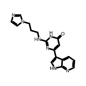 O=c1cc(-c2c[nH]c3ncccc23)nc(NCCCn2ccnc2)[nH]1